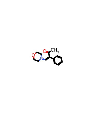 CC(=O)/C(=C\N1CCOCC1)c1ccccc1